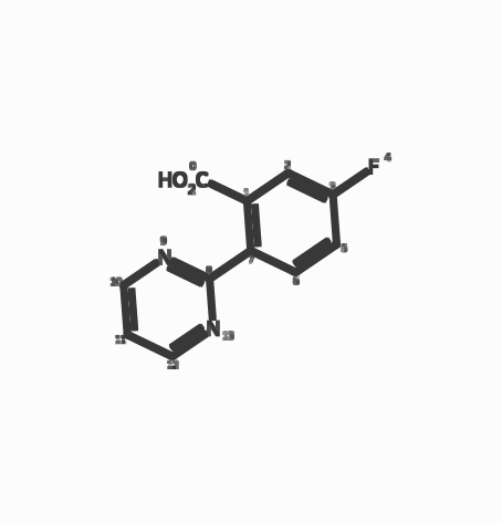 O=C(O)c1cc(F)ccc1-c1ncccn1